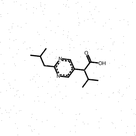 CC(C)Cc1ncc(C(C(=O)O)C(C)C)cn1